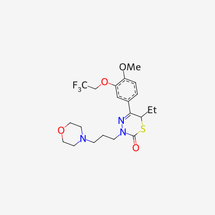 CCC1SC(=O)N(CCCN2CCOCC2)N=C1c1ccc(OC)c(OCC(F)(F)F)c1